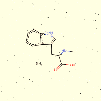 CNC(Cc1c[nH]c2ccccc12)C(=O)O.[SiH4]